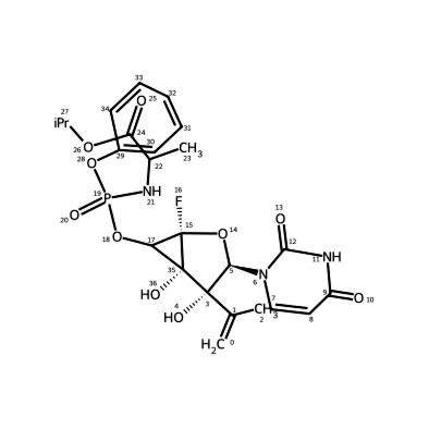 C=C(C)[C@]1(O)[C@H](n2ccc(=O)[nH]c2=O)O[C@]2(F)C(OP(=O)(NC(C)C(=O)OC(C)C)Oc3ccccc3)[C@@]21O